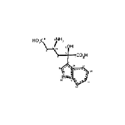 N[C@H](CC(=O)O)CC(O)(C(=O)O)c1c[nH]c2ccccc12